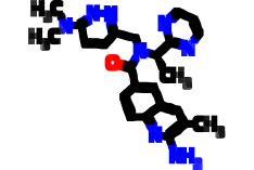 Cc1cc2cc(C(=O)N(Cc3ccc(N(C)C)nn3)[C@H](C)c3ncccn3)ccc2nc1N